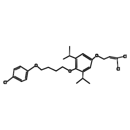 CC(C)c1cc(OCC=C(Cl)Cl)cc(C(C)C)c1OCCCCOc1ccc(Cl)cc1